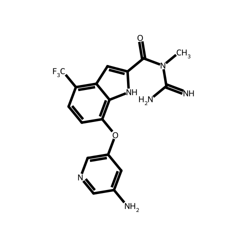 CN(C(=N)N)C(=O)c1cc2c(C(F)(F)F)ccc(Oc3cncc(N)c3)c2[nH]1